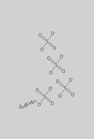 O=S(=O)([O-])[O-].O=S(=O)([O-])[O-].O=S(=O)([O-])[O-].O=S(=O)([O-])[O-].[Al+3].[Al+3].[Zn+2]